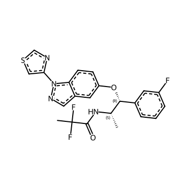 C[C@H](NC(=O)C(C)(F)F)[C@H](Oc1ccc2c(cnn2-c2cscn2)c1)c1cccc(F)c1